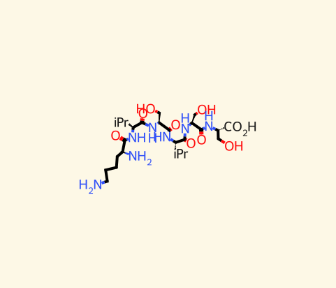 CC(C)[C@H](NC(=O)[C@H](CO)NC(=O)[C@@H](NC(=O)[C@@H](N)CCCCN)C(C)C)C(=O)N[C@@H](CO)C(=O)N[C@@H](CO)C(=O)O